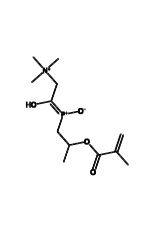 C=C(C)C(=O)OC(C)C/[P+]([O-])=C(\O)C[N+](C)(C)C